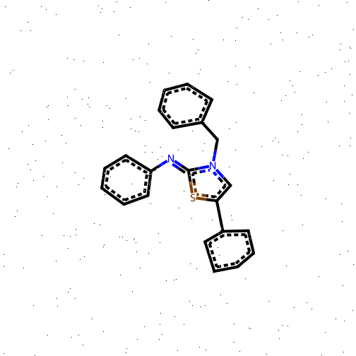 c1ccc(Cn2cc(-c3ccccc3)sc2=Nc2ccccc2)cc1